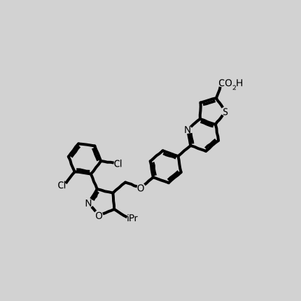 CC(C)C1ON=C(c2c(Cl)cccc2Cl)C1COc1ccc(-c2ccc3sc(C(=O)O)cc3n2)cc1